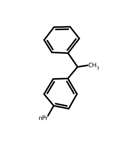 CCCc1ccc(C(C)c2ccccc2)cc1